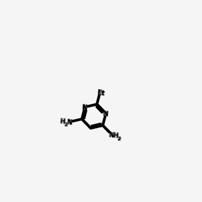 CCc1nc(N)cc(N)n1